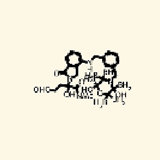 BC1(B)OC(O)(O)C(B)(B)N(Cc2cccc(CNc3cccc4c3CN(C(O)(CCC=O)C(=O)NC)C4=O)c2)C1(B)O